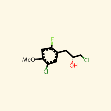 COc1cc(F)c(C[C@@H](O)CCl)cc1Cl